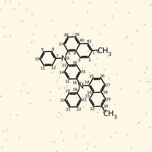 Cc1ccc2c(N(c3ccccc3)c3ccc(N(c4ccccc4)c4cccc5cc(C)ccc45)cc3)cccc2c1